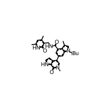 CCC(C)n1cc(C)c2c(C(=O)NCc3c(C)cc(C)[nH]c3=O)cc(-c3cn(C)c(=O)c4[nH]ccc34)cc21